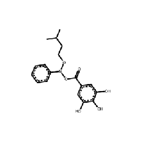 CC(C)CCON(OC(=O)c1cc(O)c(O)c(O)c1)c1ccccc1